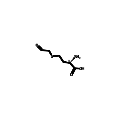 N[C@@H](CCSCC=O)C(=O)O